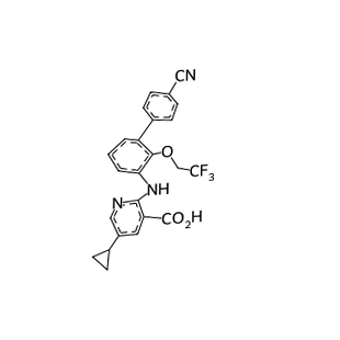 N#Cc1ccc(-c2cccc(Nc3ncc(C4CC4)cc3C(=O)O)c2OCC(F)(F)F)cc1